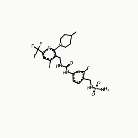 CC1CCN(c2nc(C(F)(F)F)cc(I)c2CNC(=O)Nc2ccc(CNS(N)(=O)=O)c(F)c2)CC1